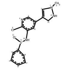 CN1C=C(c2cnc(Cl)c(N[S+]([O-])c3ccccc3)c2)CN1